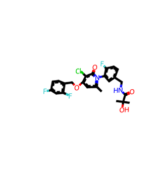 Cc1cc(OCc2ccc(F)cc2F)c(Cl)c(=O)n1-c1cc(CNC(=O)C(C)(C)O)ccc1F